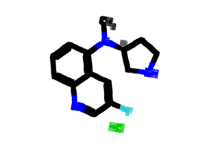 CN(c1cccc2ncc(F)cc12)[C@H]1CCNC1.Cl